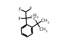 CC(C)(C)c1ccccc1C(F)(F)C(F)F